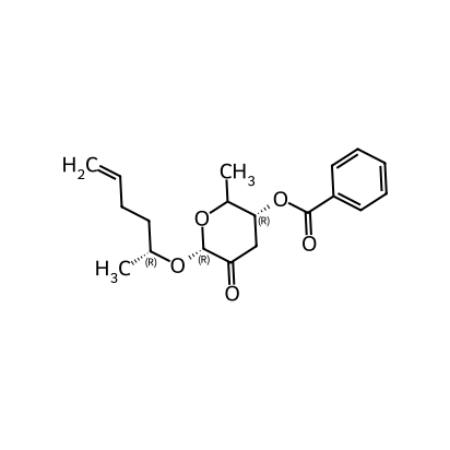 C=CCC[C@@H](C)O[C@@H]1OC(C)[C@H](OC(=O)c2ccccc2)CC1=O